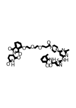 Cc1nc(Nc2ncc(C(=O)Nc3c(C)cccc3Cl)s2)cc(N2CCN(C(=O)CCOCCOCCOc3cccc4c3C(=O)N(C3CCC(=O)NC3=O)C4=O)CC2)n1